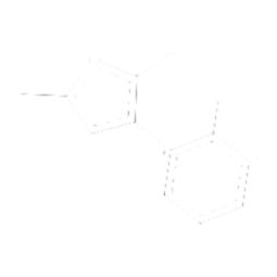 Cc1[c]c(-c2ccccc2Cl)c(C)o1